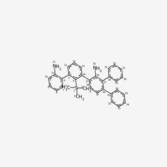 C[Si](C)(C)c1c(-c2ccccc2N)cccc1-c1ccc(-c2ccccc2)c(-c2ccccc2)c1N